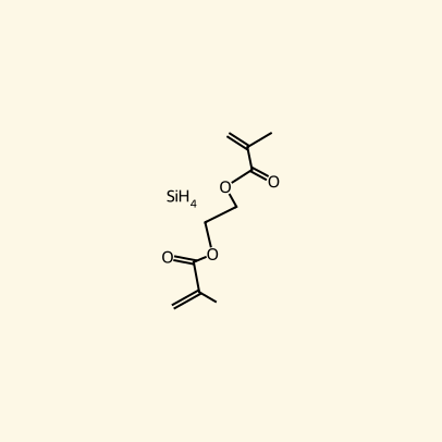 C=C(C)C(=O)OCCOC(=O)C(=C)C.[SiH4]